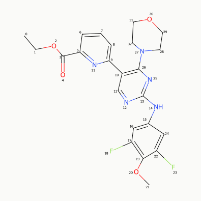 CCOC(=O)c1cccc(-c2cnc(Nc3cc(F)c(OC)c(F)c3)nc2N2CCOCC2)n1